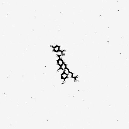 COc1ccc(-n2c(CCCCC(=O)O)cc3cc(C(=O)NC(C)c4ccc(F)cc4)ccc3c2=O)cc1